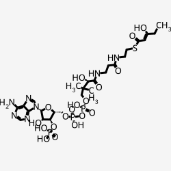 CCC(O)=CC(=O)SCCNC(=O)CCNC(=O)[C@H](O)C(C)(C)COP(=O)(O)OP(=O)(O)OC[C@H]1O[C@@H](n2cnc3c(N)ncnc32)[C@H](O)[C@@H]1OP(=O)(O)O